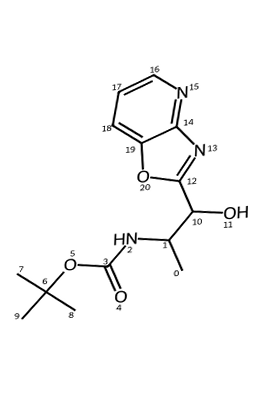 CC(NC(=O)OC(C)(C)C)C(O)c1nc2ncccc2o1